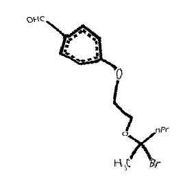 CCCC(C)(Br)OCCOc1ccc(C=O)cc1